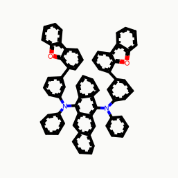 c1ccc(N(c2cccc(-c3cccc4c3oc3ccccc34)c2)c2c3ccccc3c(N(c3ccccc3)c3cccc(-c4cccc5c4oc4ccccc45)c3)c3cc4ccccc4cc23)cc1